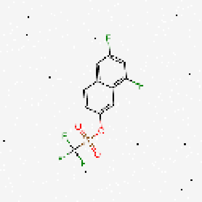 O=S(=O)(Oc1ccc2cc(F)cc(F)c2c1)C(F)(F)F